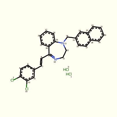 Cl.Cl.Clc1ccc(C=CC2=NCCN(Cc3ccc4ccccc4c3)c3ccccc32)cc1Cl